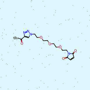 CC(C)(C)C(=O)c1cn(CCOCCOCCOCCN2C(=O)C=CC2=O)nn1